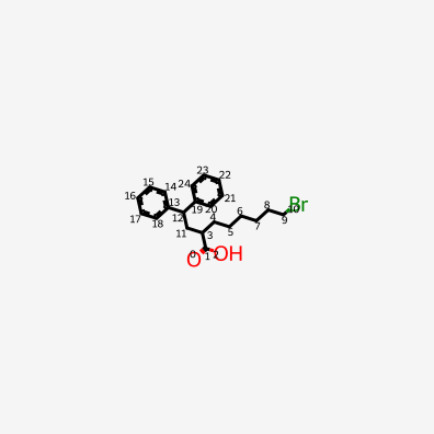 O=C(O)C(CCCCCCBr)CC(c1ccccc1)c1ccccc1